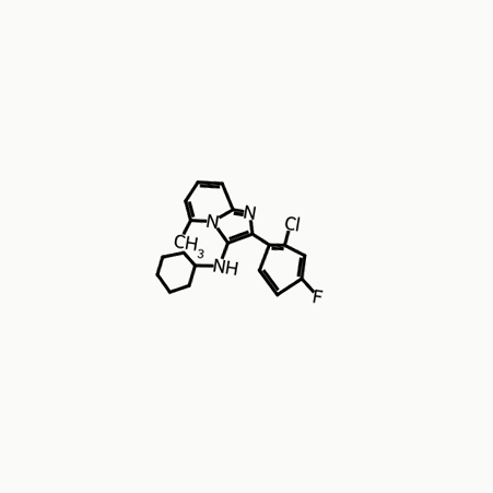 Cc1cccc2nc(-c3ccc(F)cc3Cl)c(NC3CCCCC3)n12